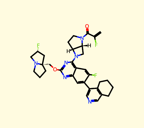 C=C(F)C(=O)N1CC[C@@H]2[C@H]1CN2c1nc(OC[C@]23CCCN2C[C@H](F)C3)nc2cc(-c3cncc4c3CCCC4)c(F)cc12